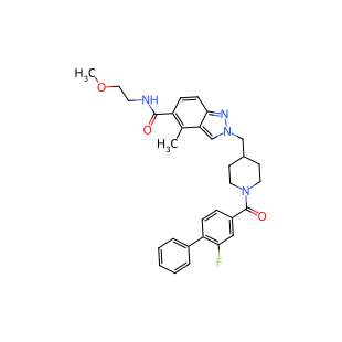 COCCNC(=O)c1ccc2nn(CC3CCN(C(=O)c4ccc(-c5ccccc5)c(F)c4)CC3)cc2c1C